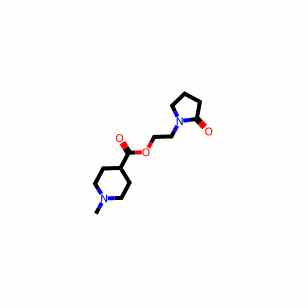 CN1CCC(C(=O)OCCN2CCCC2=O)CC1